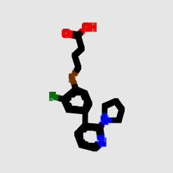 O=C(O)CCCSc1ccc(-c2cccnc2N2CCCC2)cc1F